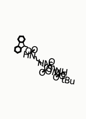 COC(=O)[C@H](CCCCNC(=O)OCC1c2ccccc2-c2ccccc21)NS(=O)(=O)CCNC(=O)OC(C)(C)C